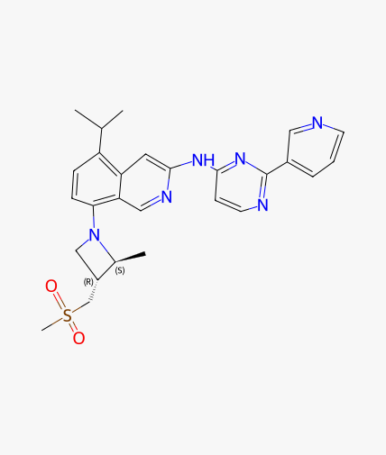 CC(C)c1ccc(N2C[C@@H](CS(C)(=O)=O)[C@@H]2C)c2cnc(Nc3ccnc(-c4cccnc4)n3)cc12